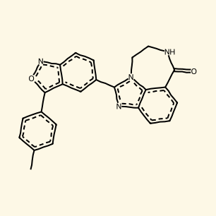 Cc1ccc(-c2onc3ccc(-c4nc5cccc6c5n4CCNC6=O)cc23)cc1